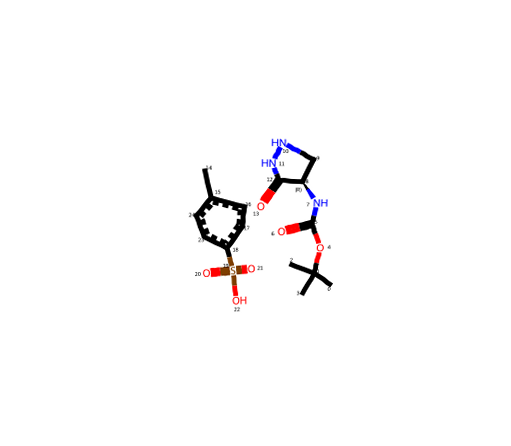 CC(C)(C)OC(=O)N[C@@H]1CNNC1=O.Cc1ccc(S(=O)(=O)O)cc1